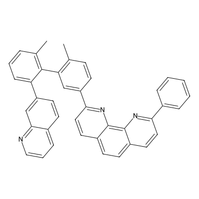 Cc1ccc(-c2ccc3ccc4ccc(-c5ccccc5)nc4c3n2)cc1-c1c(C)cccc1-c1ccc2cccnc2c1